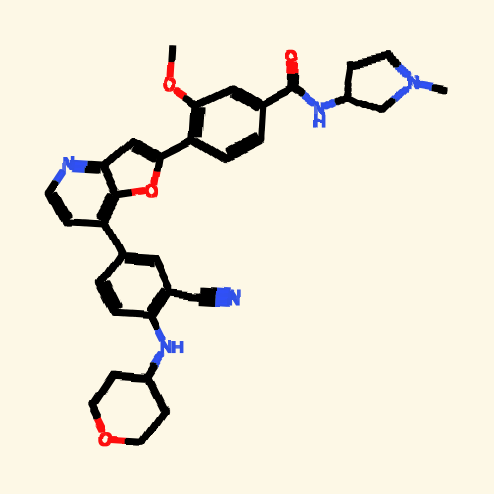 COc1cc(C(=O)NC2CCN(C)C2)ccc1-c1cc2nccc(-c3ccc(NC4CCOCC4)c(C#N)c3)c2o1